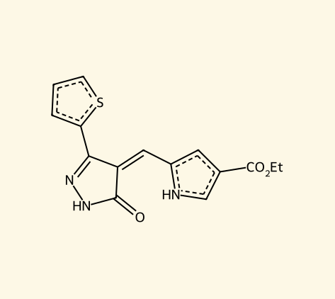 CCOC(=O)c1c[nH]c(C=C2C(=O)NN=C2c2cccs2)c1